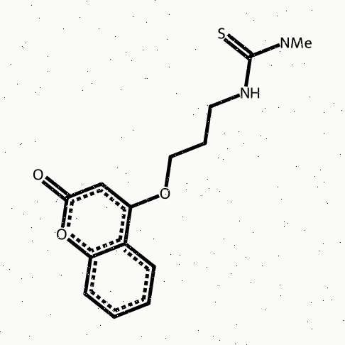 CNC(=S)NCCCOc1cc(=O)oc2ccccc12